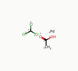 CC(=O)O.ClC(Cl)Cl.[Pd]